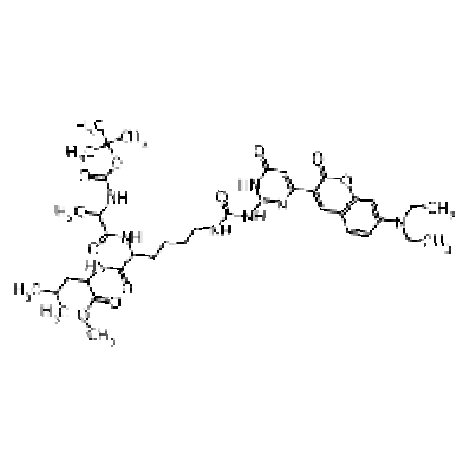 CCN(CC)c1ccc2cc(-c3cc(=O)[nH]c(NC(=O)NCCCCC(NC(=O)C(C)NC(=O)OC(C)(C)C)C(=O)NC(CC(C)C)C(=O)OC)n3)c(=O)oc2c1